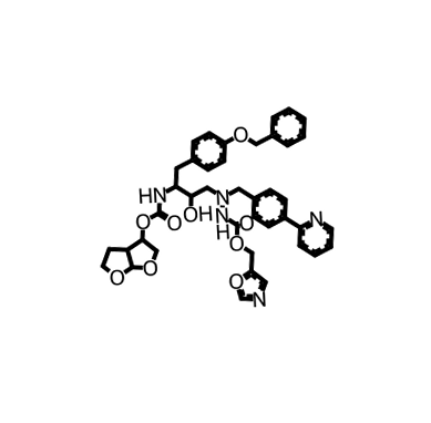 O=C(NN(Cc1ccc(-c2ccccn2)cc1)CC(O)C(Cc1ccc(OCc2ccccc2)cc1)NC(=O)OC1COC2OCCC12)OCc1cnco1